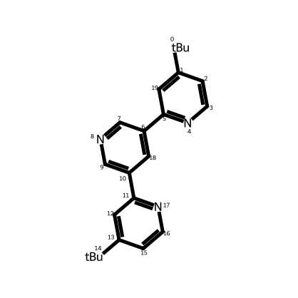 CC(C)(C)c1ccnc(-c2cncc(-c3cc(C(C)(C)C)ccn3)c2)c1